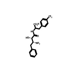 N[C@H](Cc1ccccc1)[C@H](O)C(=O)NC(Cc1ccc(C(F)(F)F)cc1)C(=O)O